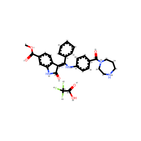 COC(=O)c1ccc2c(c1)NC(=O)/C2=C(\Nc1ccc(C(=O)N2CCCNCC2)cc1)c1ccccc1.O=C(O)C(F)(F)F